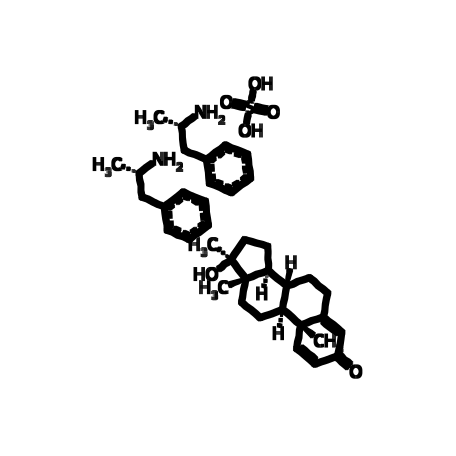 C[C@H](N)Cc1ccccc1.C[C@H](N)Cc1ccccc1.C[C@]12C=CC(=O)C=C1CC[C@@H]1[C@@H]2CC[C@@]2(C)[C@H]1CC[C@]2(C)O.O=S(=O)(O)O